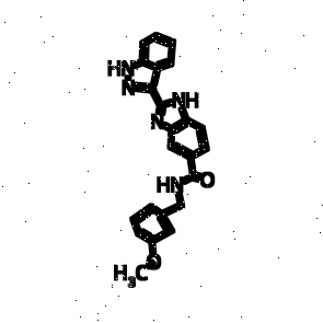 COc1cccc(CNC(=O)c2ccc3[nH]c(-c4n[nH]c5ccccc45)nc3c2)c1